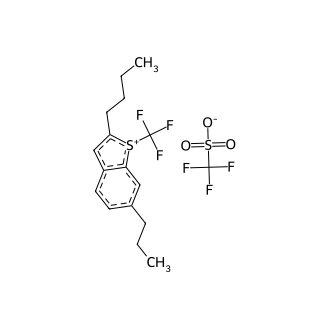 CCCCc1cc2ccc(CCC)cc2[s+]1C(F)(F)F.O=S(=O)([O-])C(F)(F)F